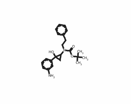 CC(C)(C)OC(=O)N(CCc1ccccc1)C1CC1(O)c1cccc(N)c1